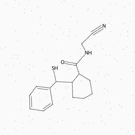 N#CCNC(=O)C1CCCCC1C(S)c1ccccc1